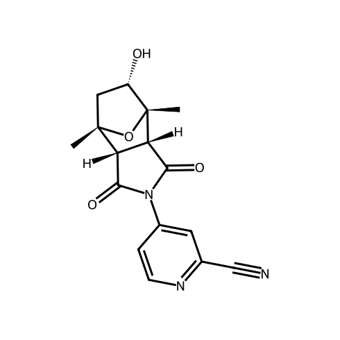 C[C@@]12O[C@@](C)(C[C@@H]1O)[C@H]1C(=O)N(c3ccnc(C#N)c3)C(=O)[C@H]12